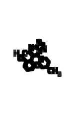 Cc1nc2ncnn2c(N2CCC(C)CC2)c1-c1c(Cl)cccc1Cl